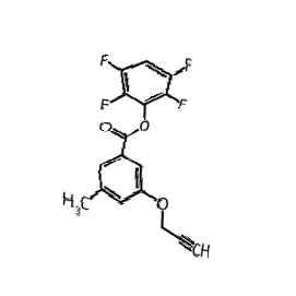 C#CCOc1cc(C)cc(C(=O)Oc2c(F)c(F)cc(F)c2F)c1